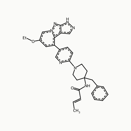 C/C=C/C(=O)NC1(Cc2ccccc2)CCN(c2ccc(-c3cc(OCC)cn4nc5[nH]ncc5c34)cn2)CC1